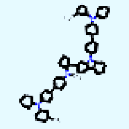 Cc1cccc(N(c2ccccc2)c2ccc(-c3ccc(N(C)c4ccccc4-c4ccc5c6ccccc6n(-c6ccc(-c7ccc(N(c8ccccc8)c8cccc(C)c8)cc7)cc6)c5c4)cc3)cc2)c1